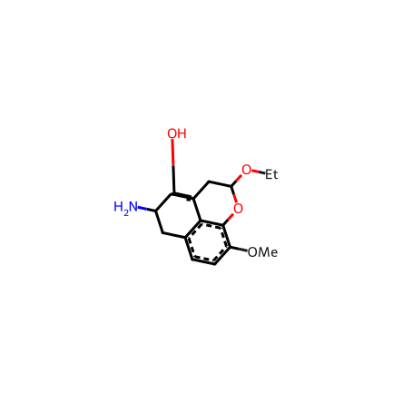 CCOC1CC23C=CC(O)CC2C(N)Cc2ccc(OC)c(c23)O1